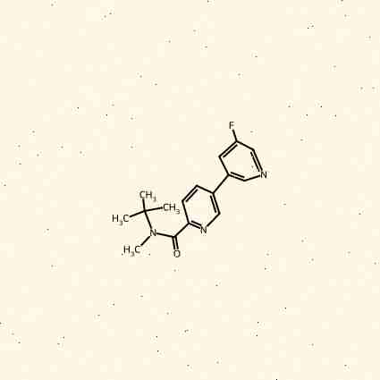 CN(C(=O)c1ccc(-c2cncc(F)c2)cn1)C(C)(C)C